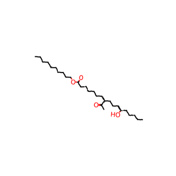 CCCCCCCCCCOC(=O)CCCCCCC(CCCC(O)CCCCC)C(C)=O